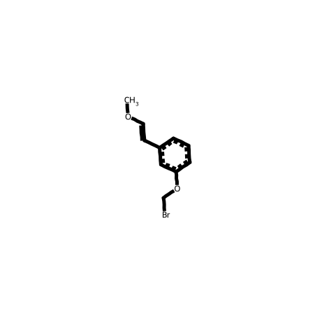 COC=Cc1cccc(OCBr)c1